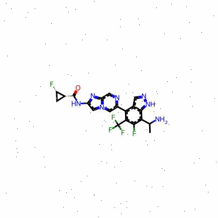 CC(N)c1c(F)c(C(F)(F)F)c(-c2cn3cc(NC(=O)[C@@H]4C[C@@H]4F)nc3cn2)c2cn[nH]c12